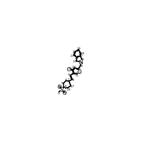 CS(=O)(=O)N1CCC(/C=C/c2coc(CN3Cc4ccccc4C3)cc2=O)CC1